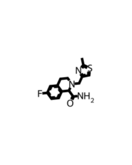 Cc1nc(CN2CCc3cc(F)ccc3C2C(N)=O)cs1